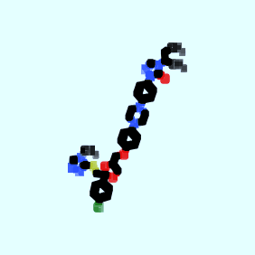 CCC(C)n1cnn(-c2ccc(N3CCN(c4ccc(OCC5COC(CSc6nncn6C)(c6ccc(Cl)cc6)O5)cc4)CC3)cc2)c1=O